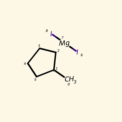 C[C]1CCCC1.[I][Mg][I]